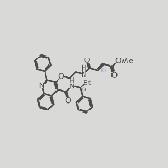 CC[C@H](NC(=O)c1c(OCCNC(=O)/C=C/C(=O)OC)c(-c2ccccc2)nc2ccccc12)c1ccccc1